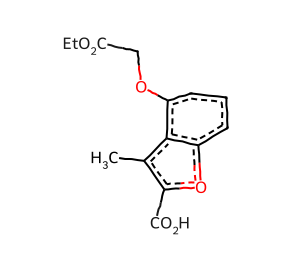 CCOC(=O)COc1cccc2oc(C(=O)O)c(C)c12